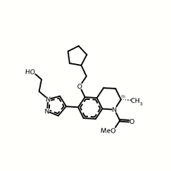 COC(=O)N1c2ccc(-c3cnn(CCO)c3)c(OCC3CCCC3)c2CC[C@@H]1C